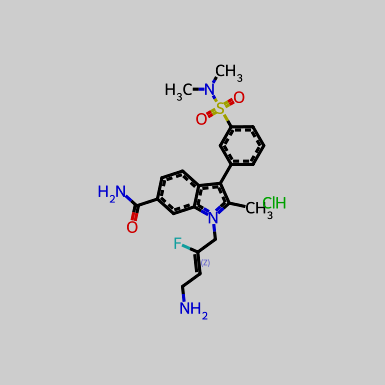 Cc1c(-c2cccc(S(=O)(=O)N(C)C)c2)c2ccc(C(N)=O)cc2n1C/C(F)=C/CN.Cl